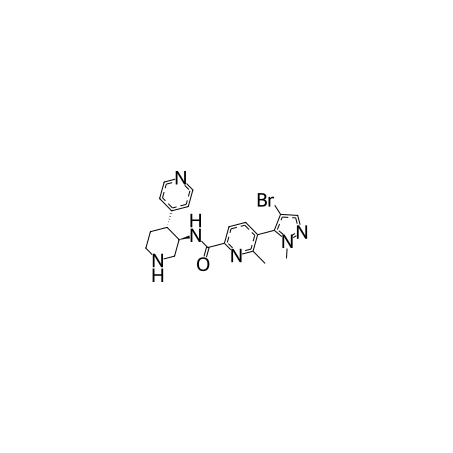 Cc1nc(C(=O)N[C@H]2CNCC[C@@H]2c2ccncc2)ccc1-c1c(Br)cnn1C